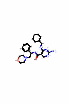 Nc1ncc(C(=O)NC(CN2CCOCC2)c2ccccc2)c(NCC2CCCCC2)n1